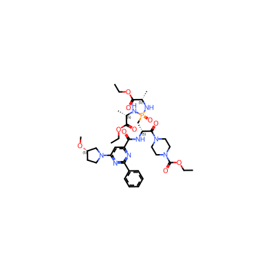 CCOC(=O)[C@H](C)NP(=O)(C[C@@H](NC(=O)c1cc(N2CC[C@H](OC)C2)nc(-c2ccccc2)n1)C(=O)N1CCN(C(=O)OCC)CC1)N[C@@H](C)C(=O)OCC